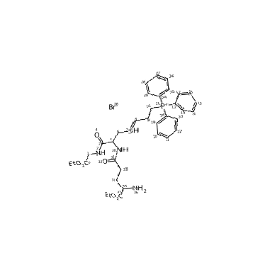 CCOC(=O)CNC(=O)C(C[SH]=CCC[P+](c1ccccc1)(c1ccccc1)c1ccccc1)NC(=O)CCC(N)C(=O)OCC.[Br-]